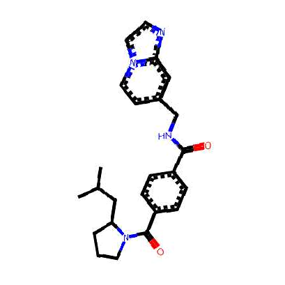 CC(C)CC1CCCN1C(=O)c1ccc(C(=O)NCc2ccn3ccnc3c2)cc1